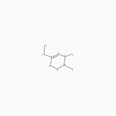 CCC1=CC(C)C(C)CC1